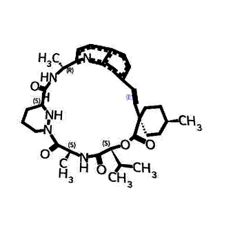 CC(C)[C@@H]1OC(=O)[C@]2(/C=C/c3ccc4ccc(nc4c3)[C@@H](C)NC(=O)[C@@H]3CCCN(N3)C(=O)[C@H](C)NC1=O)CC[C@H](C)CC2